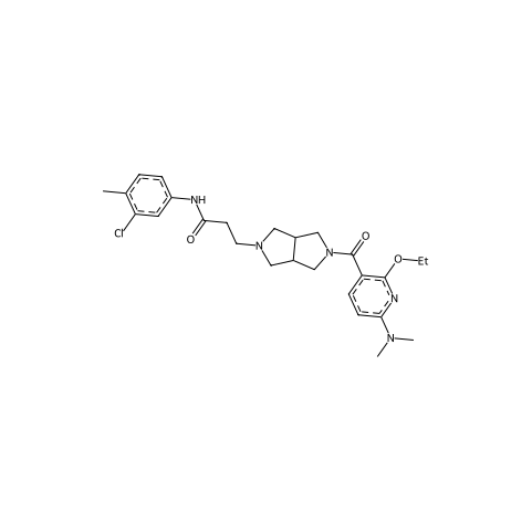 CCOc1nc(N(C)C)ccc1C(=O)N1CC2CN(CCC(=O)Nc3ccc(C)c(Cl)c3)CC2C1